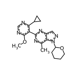 COc1ncnc(C2CC2)c1-c1nc(C)c2c(cnn2C2CCCCO2)n1